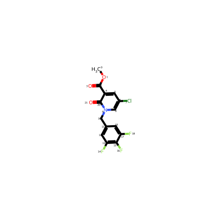 COC(=O)c1cc(Cl)cn(Cc2cc(F)c(F)c(F)c2)c1=O